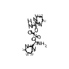 NC(OC(=O)C(=O)OC(N)c1ncccn1)c1ncccn1